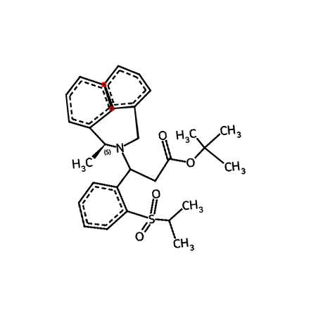 CC(C)S(=O)(=O)c1ccccc1C(CC(=O)OC(C)(C)C)N(Cc1ccccc1)[C@@H](C)c1ccccc1